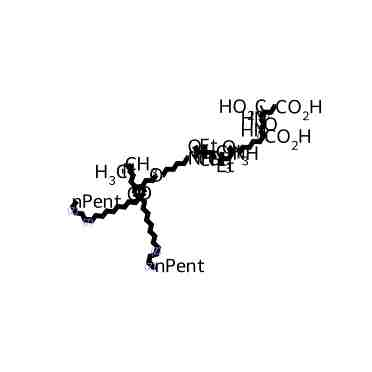 CCCCC/C=C\C/C=C\CCCCCCCCC1(CCCCCCCC/C=C\C/C=C\CCCCC)OC(CCOCCCCCCNC(=O)C(C)(CC)COC(C)(CC)CC(=O)NCCCC[C@@H](NC(=O)N[C@H](CCC(=O)O)C(=O)O)C(=O)O)C(CCN(C)C)O1